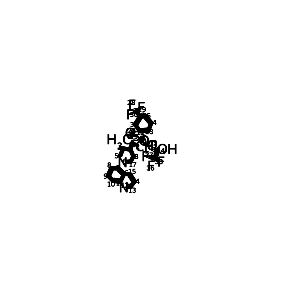 CC(C)(C1CCN(c2cccc3ncccc23)CC1)S(=O)(=O)c1cccc(C(F)(F)F)c1.O=C(O)C(F)(F)F